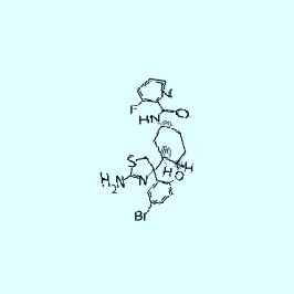 NC1=NC2(CS1)c1cc(Br)ccc1O[C@H]1CC[C@@H](NC(=O)c3ncccc3F)C[C@@H]12